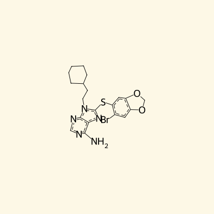 Nc1ncnc2c1nc(Sc1cc3c(cc1Br)OCO3)n2CCC1CCCCC1